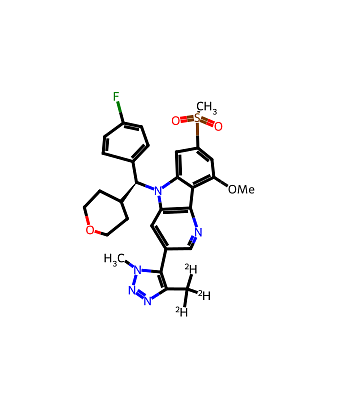 [2H]C([2H])([2H])c1nnn(C)c1-c1cnc2c3c(OC)cc(S(C)(=O)=O)cc3n([C@H](c3ccc(F)cc3)C3CCOCC3)c2c1